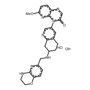 COc1ccc2ncc(=O)n(-c3cnc4c(c3)CCC(NCc3ccc5c(n3)NCCO5)C4)c2n1.Cl.Cl